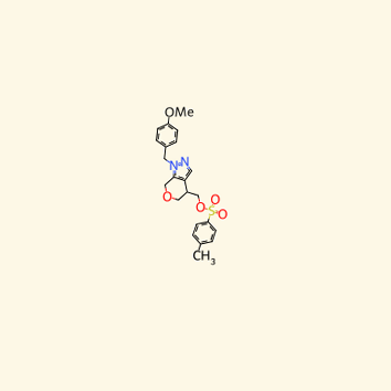 COc1ccc(Cn2ncc3c2COCC3COS(=O)(=O)c2ccc(C)cc2)cc1